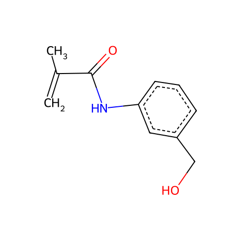 C=C(C)C(=O)Nc1cccc(CO)c1